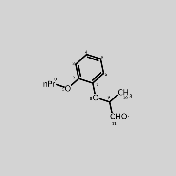 CCCOc1ccccc1OC(C)[C]=O